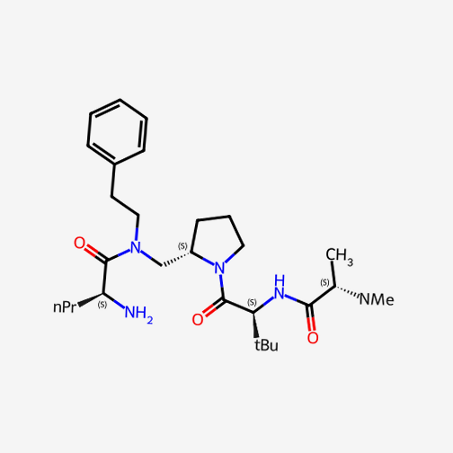 CCC[C@H](N)C(=O)N(CCc1ccccc1)C[C@@H]1CCCN1C(=O)[C@@H](NC(=O)[C@H](C)NC)C(C)(C)C